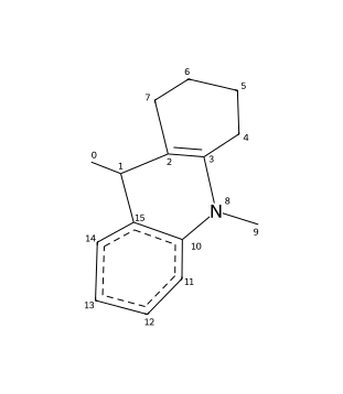 CC1C2=C(CCCC2)N(C)c2ccccc21